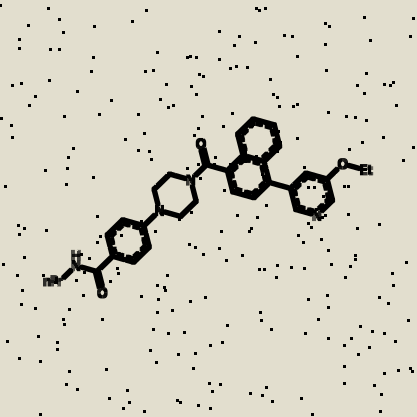 CCCNC(=O)c1ccc(N2CCN(C(=O)c3ccc(-c4cncc(OCC)c4)c4ccccc34)CC2)cc1